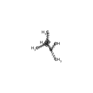 CCCCCCCCCCN(CCCCCCO)CCCCCCC(C)(C(=O)OCCCCCCCC)C(=O)OCCCCCCCC